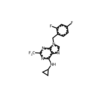 Fc1ccc(Cn2cnc3c(NC4CC4)nc(C(F)(F)F)nc32)c(F)c1